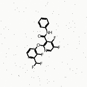 O=C(Nc1ccccc1)c1c(Oc2cccc(C(F)F)c2F)ncc(F)c1F